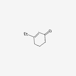 CCC1=[C]C(=O)CCC1